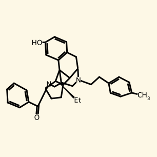 CC[C@@H]1CN(C(=O)c2ccccc2)C2CCC13C1C4Cc5ccc(O)cc5C1(CCN4CCc1ccc(C)cc1)C23